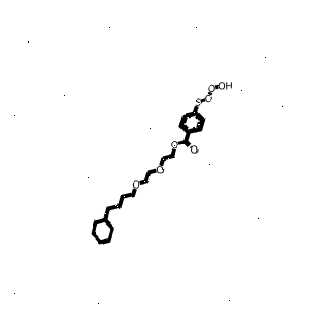 O=C(OCCOCCOCCCCC1CCCCC1)c1ccc(SOOO)cc1